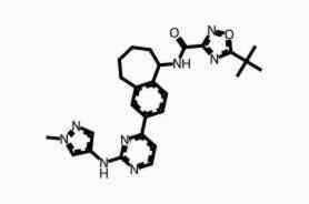 Cn1cc(Nc2nccc(-c3ccc4c(c3)CCCCC4NC(=O)c3noc(C(C)(C)C)n3)n2)cn1